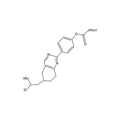 CCCCCC(=O)Oc1ccc(-c2ncc3c(n2)CCC(CC(CC)CCCC)C3)cc1